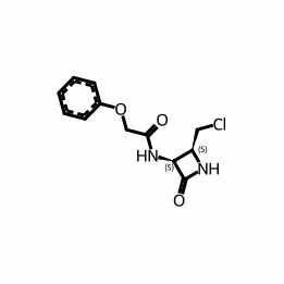 O=C(COc1ccccc1)N[C@@H]1C(=O)N[C@@H]1CCl